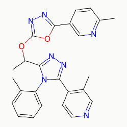 Cc1ccc(-c2nnc(OC(C)c3nnc(-c4ccncc4C)n3-c3ccccc3C)o2)cn1